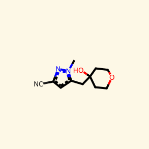 Cn1nc(C#N)cc1CC1(O)CCOCC1